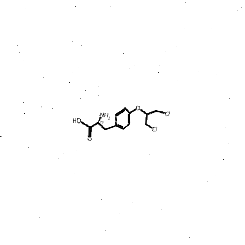 N[C@@H](Cc1ccc(OC(CCl)CCl)cc1)C(=O)O